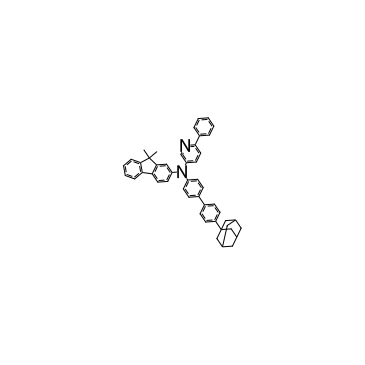 CC1(C)c2ccccc2-c2ccc(N(c3ccc(-c4ccc(C56CC7CC(CC(C7)C5)C6)cc4)cc3)c3ccc(-c4ccccc4)nc3)cc21